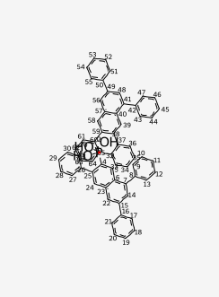 OP(O)(O)(c1cc2c(-c3ccccc3)cc(-c3ccccc3)cc2cc1-c1ccccc1)c1ccccc1-c1cc2c(-c3ccccc3)cc(-c3ccccc3)cc2cc1-c1ccccc1